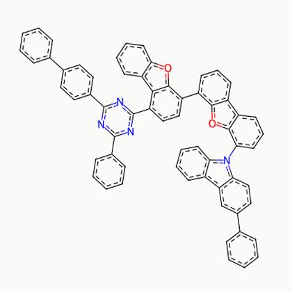 c1ccc(-c2ccc(-c3nc(-c4ccccc4)nc(-c4ccc(-c5cccc6c5oc5c(-n7c8ccccc8c8cc(-c9ccccc9)ccc87)cccc56)c5oc6ccccc6c45)n3)cc2)cc1